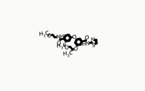 COCCNC(=O)c1ccc(Oc2cc(O[C@@H](C)COC)cc(C(=O)Nc3nccs3)c2)cc1